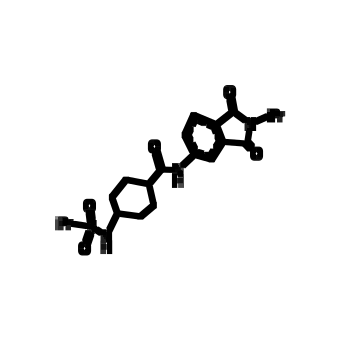 CC(C)N1C(=O)c2ccc(NC(=O)C3CCC(NS(=O)(=O)C(C)C)CC3)cc2C1=O